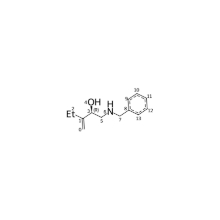 C=C(CC)[C@@H](O)CNCc1ccccc1